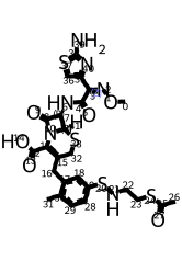 CO/N=C(\C(=O)N[C@@H]1C(=O)N2C(C(=O)O)=C(Cc3cc(SNCCSC(C)=O)ccc3C)CS[C@H]12)c1csc(N)n1